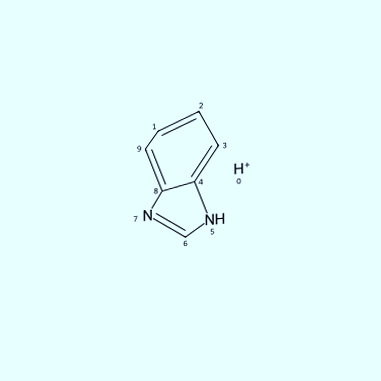 [H+].c1ccc2[nH]cnc2c1